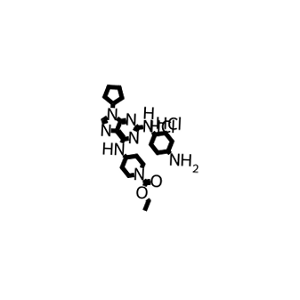 CCOC(=O)N1CCC(Nc2nc(NC3CCC(N)CC3)nc3c2ncn3C2CCCC2)CC1.Cl.Cl